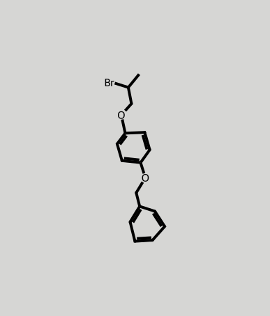 CC(Br)COc1ccc(OCc2ccccc2)cc1